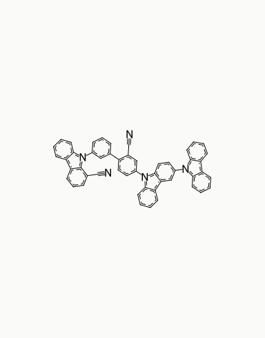 N#Cc1cc(-n2c3ccccc3c3cc(-n4c5ccccc5c5ccccc54)ccc32)ccc1-c1cccc(-n2c3ccccc3c3cccc(C#N)c32)c1